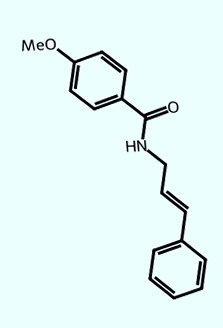 COc1ccc(C(=O)NC/C=C/c2ccccc2)cc1